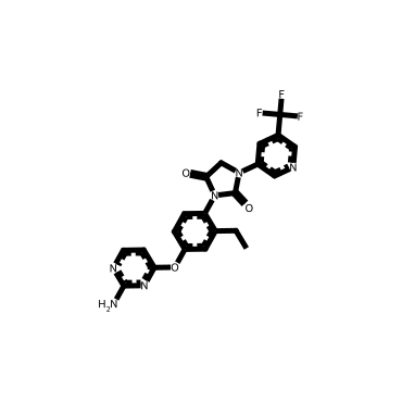 CCc1cc(Oc2ccnc(N)n2)ccc1N1C(=O)CN(c2cncc(C(F)(F)F)c2)C1=O